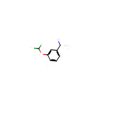 C[C@@H](N)c1cccc(OC(F)F)c1.Cl